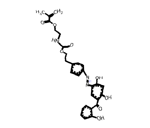 C=C(C)C(=O)OCCNC(=O)OCCc1ccc(/N=N/c2cc(C(=O)c3ccccc3O)c(O)cc2O)cc1